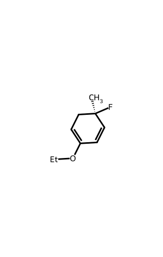 CCOC1=CC[C@@](C)(F)C=C1